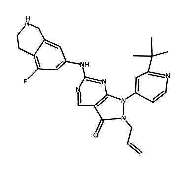 C=CCn1c(=O)c2cnc(Nc3cc(F)c4c(c3)CNCC4)nc2n1-c1ccnc(C(C)(C)C)c1